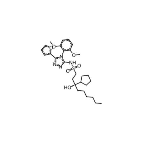 CCCCCC[C@](O)(CCS(=O)(=O)Nc1nnc(-c2ccco2)n1-c1c(OC)cccc1OC)C1CCCC1